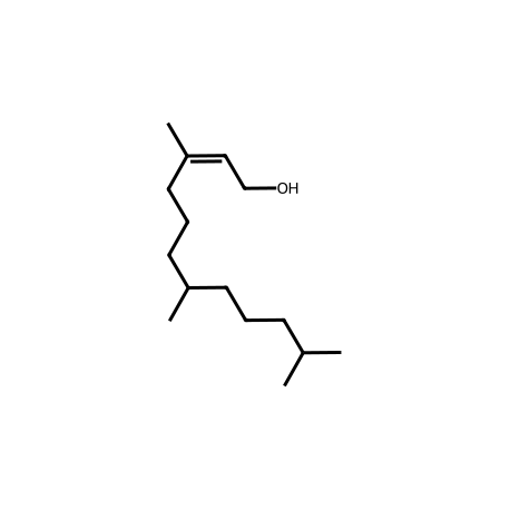 CC(=CCO)CCCC(C)CCCC(C)C